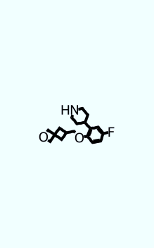 Fc1ccc(OCC2CC3(COC3)C2)c(C2CCNCC2)c1